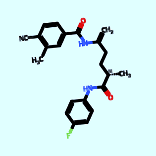 C=C(CC[C@H](C)C(=O)Nc1ccc(F)cc1)NC(=O)c1ccc(C#N)c(C)c1